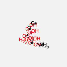 O.O.O=[Si](O)O.O=[Si](O)O.O=[Si](O)O.[AlH3].[AlH3].[Ce]